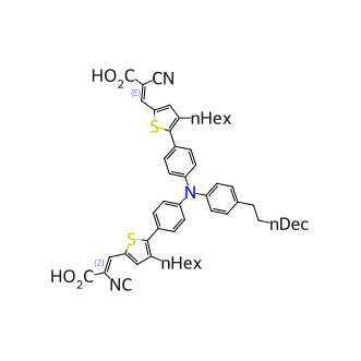 [C-]#[N+]/C(=C\c1cc(CCCCCC)c(-c2ccc(N(c3ccc(CCCCCCCCCCCC)cc3)c3ccc(-c4sc(/C=C(\C#N)C(=O)O)cc4CCCCCC)cc3)cc2)s1)C(=O)O